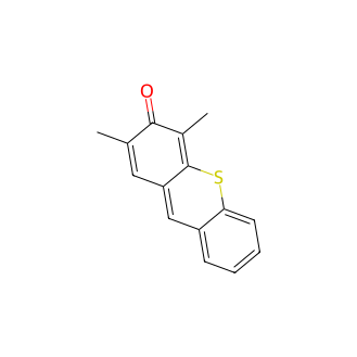 Cc1cc2cc3ccccc3sc-2c(C)c1=O